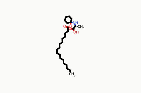 CCCCCCCC/C=C\CCCCCCCC(=O)OC1(N[C@@H](C)C(=O)O)CCCCC1